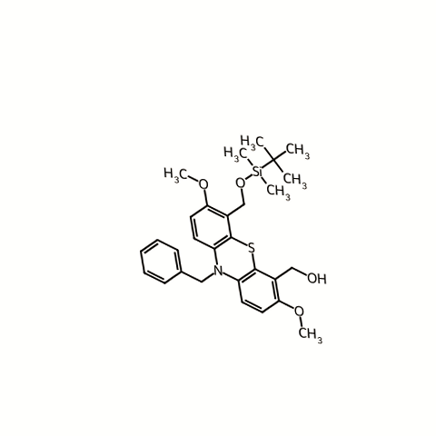 COc1ccc2c(c1CO)Sc1c(ccc(OC)c1CO[Si](C)(C)C(C)(C)C)N2Cc1ccccc1